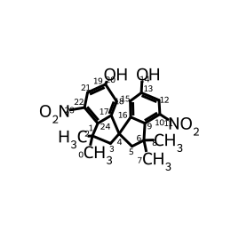 CC1(C)CC2(CC(C)(C)c3c([N+](=O)[O-])cc(O)cc32)c2cc(O)cc([N+](=O)[O-])c21